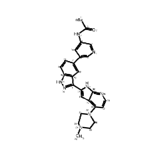 CCCCC(=O)Nc1cncc(-c2ccc3[nH]nc(-c4cc5c(N6CCN(C)CC6)ccnc5[nH]4)c3c2)c1